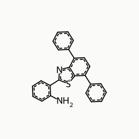 Nc1ccccc1-c1nc2c(-c3ccccc3)ccc(-c3ccccc3)c2s1